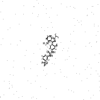 CC(C)n1nc(-c2ccc(NC(=O)Nc3cccc(C(F)(F)F)c3)cc2F)c2c(N)ncnc21